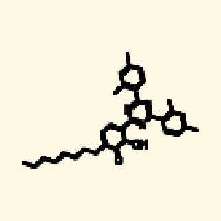 CCCCCCCCC1=CC=C(c2nc(-c3ccc(C)cc3C)nc(-c3ccc(C)cc3C)n2)C(O)C1=O